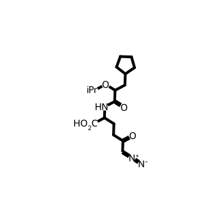 CC(C)OC(CC1CCCC1)C(=O)NC(CCC(=O)C=[N+]=[N-])C(=O)O